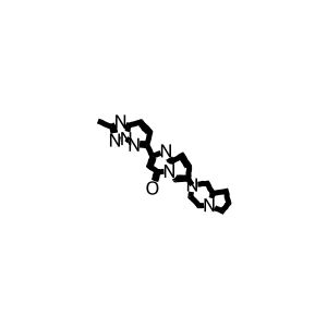 Cc1nc2ccc(-c3cc(=O)n4cc(N5CCN6CCCC6C5)ccc4n3)nn2n1